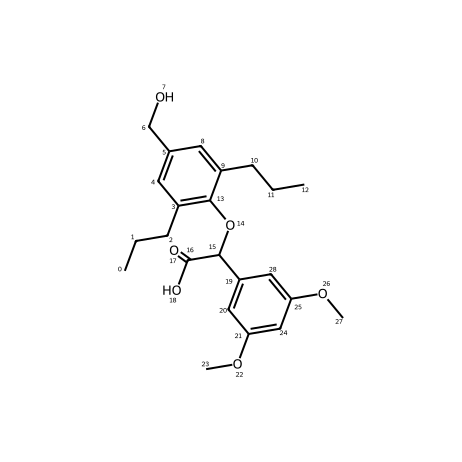 CCCc1cc(CO)cc(CCC)c1OC(C(=O)O)c1cc(OC)cc(OC)c1